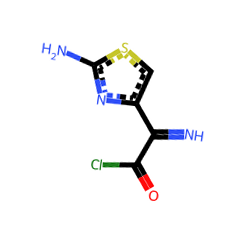 N=C(C(=O)Cl)c1csc(N)n1